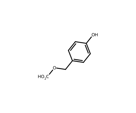 O=C(O)OCc1ccc(O)cc1